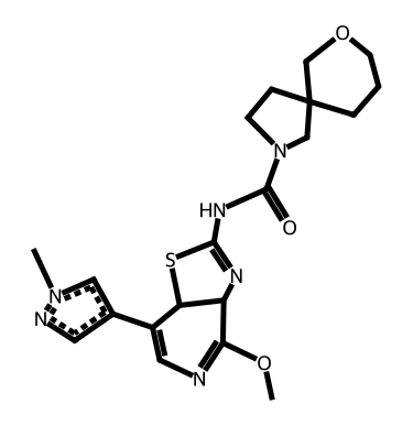 COC1=NC=C(c2cnn(C)c2)C2SC(NC(=O)N3CCC4(CCCOC4)C3)=NC12